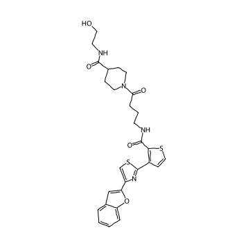 O=C(NCCCC(=O)N1CCC(C(=O)NCCO)CC1)c1sccc1-c1nc(-c2cc3ccccc3o2)cs1